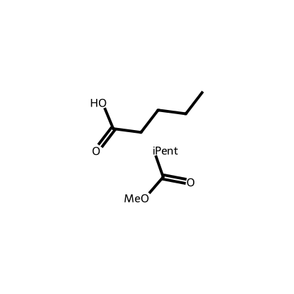 CCCC(C)C(=O)OC.CCCCC(=O)O